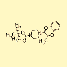 CC(Oc1ccccc1)C(=O)N1CCN(C(=O)OC(C)(C)C)CC1